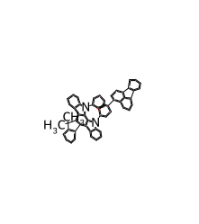 CC1(C)c2ccccc2-c2c1c1c3ccccc3n(-c3ccccc3)c1c1c2c2ccccc2n1-c1ccc(-c2ccc3c4c(cccc24)-c2ccccc2-3)cc1